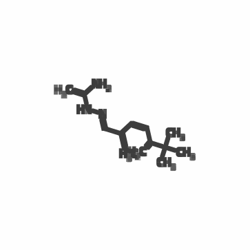 C=C(N)N/N=C/C(/C=C\C(=C)C(C)(C)C)=C/C